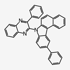 c1ccc(-c2ccc3c(c2)c2c4ccccc4ccc2n3-c2nc3ccccc3nc2-c2ccccc2)cc1